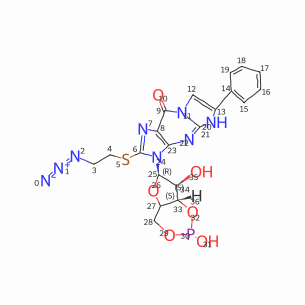 [N-]=[N+]=NCCSc1nc2c(=O)n3cc(-c4ccccc4)[nH]c3nc2n1[C@@H]1OC2COP(O)O[C@H]2[C@@H]1O